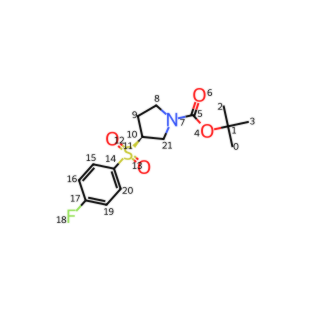 CC(C)(C)OC(=O)N1CC[C@H](S(=O)(=O)c2ccc(F)cc2)C1